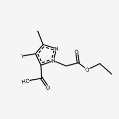 CCOC(=O)Cn1nc(C)c(I)c1C(=O)O